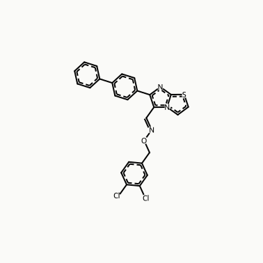 Clc1ccc(CON=Cc2c(-c3ccc(-c4ccccc4)cc3)nc3sccn23)cc1Cl